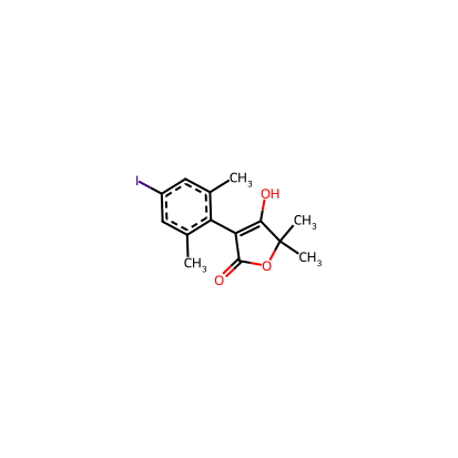 Cc1cc(I)cc(C)c1C1=C(O)C(C)(C)OC1=O